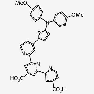 COc1ccc(N(c2ccc(OC)cc2)c2ccc(-c3ccnc(-c4cc(C(=O)O)cc(-c5cc(C(=O)O)ccn5)n4)c3)s2)cc1